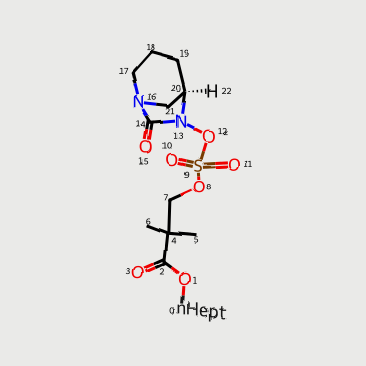 CCCCCCCOC(=O)C(C)(C)COS(=O)(=O)ON1C(=O)N2CCC[C@@H]1C2